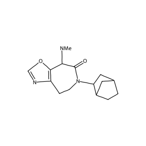 CNC1C(=O)N(C2CC3CCC2C3)CCc2ncoc21